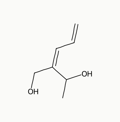 C=CC=C(CO)C(C)O